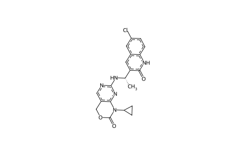 C[C@H](Nc1ncc2c(n1)N(C1CC1)C(=O)OC2)c1cc2cc(Cl)ccc2[nH]c1=O